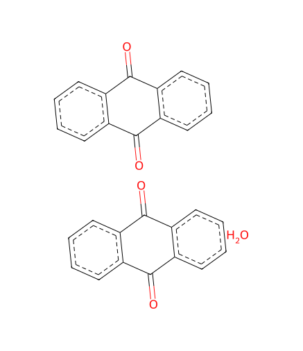 O.O=C1c2ccccc2C(=O)c2ccccc21.O=C1c2ccccc2C(=O)c2ccccc21